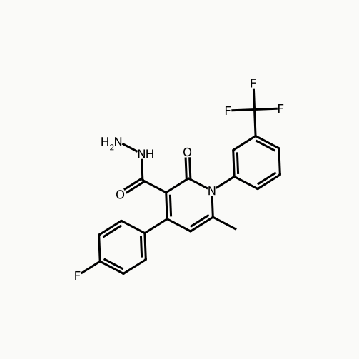 Cc1cc(-c2ccc(F)cc2)c(C(=O)NN)c(=O)n1-c1cccc(C(F)(F)F)c1